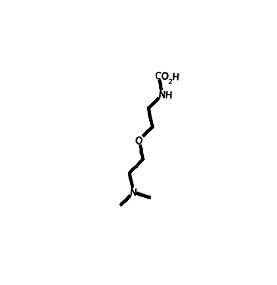 CN(C)CCOCCNC(=O)O